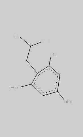 CCCc1cc(C)c(CC(O)C(C)C)c(C#N)c1